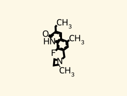 CCc1cc2c(C)cc(CN3CC[C@H]3C)c(F)c2[nH]c1=O